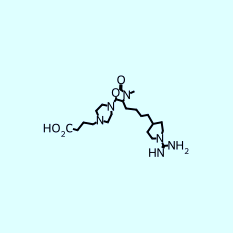 CN1C(=O)OC(N2CCN(CCCC(=O)O)CC2)C1CCCCC1CCN(C(=N)N)CC1